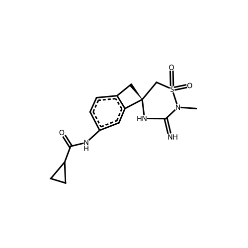 CN1C(=N)N[C@@]2(Cc3ccc(NC(=O)C4CC4)cc32)CS1(=O)=O